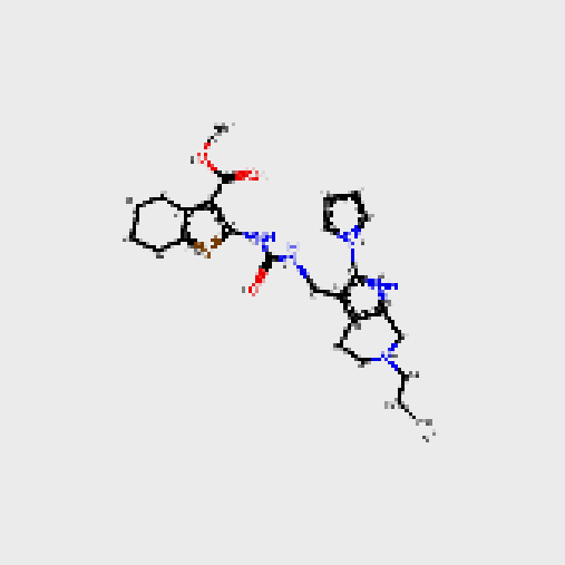 CC(C)(C)OC(=O)c1c(NC(=O)NCc2c(-n3cccc3)[nH]c3c2CCN(CCC(F)(F)F)C3)sc2c1CCCC2